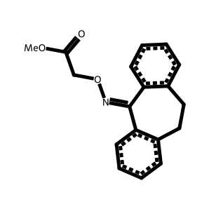 COC(=O)CON=C1c2ccccc2CCc2ccccc21